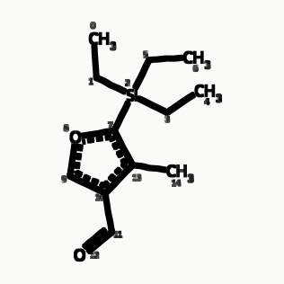 CC[Si](CC)(CC)c1occ(C=O)c1C